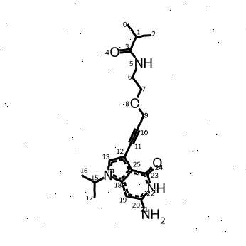 CC(C)C(=O)NCCOCC#Cc1cn(C(C)C)c2cc(N)[nH]c(=O)c12